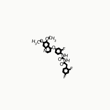 COc1cc2nccc(Oc3ccc(NC(=O)NC(=O)Cc4ccc(F)cc4F)c(F)c3)c2cc1OC